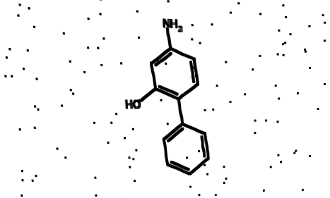 Nc1ccc(-c2ccccc2)c(O)c1